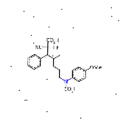 CCC(C#N)(C(=O)O)C(c1ccccc1)C(C)CCCN(c1ccc(OC)cc1)S(=O)(=O)O